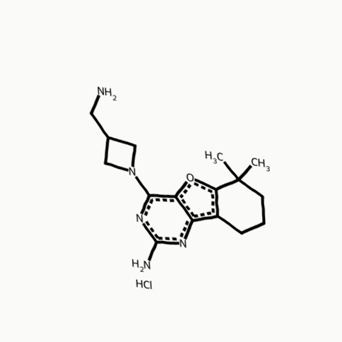 CC1(C)CCCc2c1oc1c(N3CC(CN)C3)nc(N)nc21.Cl